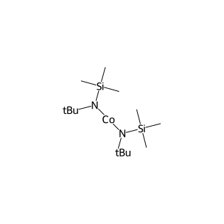 CC(C)(C)[N]([Co][N](C(C)(C)C)[Si](C)(C)C)[Si](C)(C)C